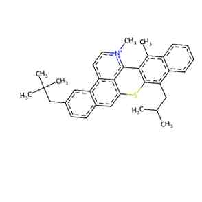 Cc1c2c(c(CC(C)C)c3ccccc13)Sc1cc3ccc(CC(C)(C)C)cc3c3cc[n+](C)c-2c13